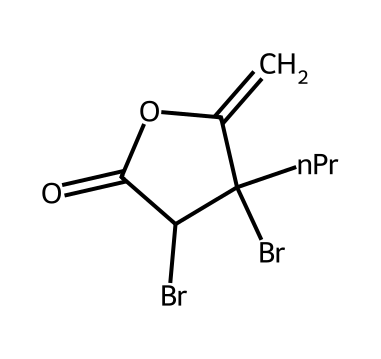 C=C1OC(=O)C(Br)C1(Br)CCC